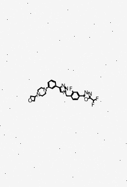 Fc1cc(-c2nnc(C(F)F)o2)ccc1Cn1cc(-c2cccc(N3CCN(C4COC4)CC3)c2)nn1